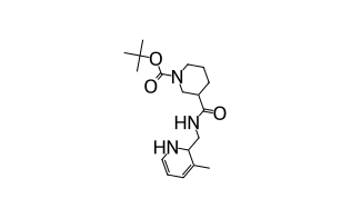 CC1=CC=CNC1CNC(=O)C1CCCN(C(=O)OC(C)(C)C)C1